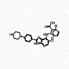 O=C(O)[C@@H]1[C@H](Nc2c(Cl)cnc3[nH]c(-c4ccc(N5CCNCC5)cc4)nc23)[C@H]2C=C[C@@H]1C2